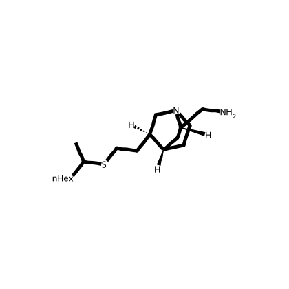 CCCCCCC(C)SCC[C@H]1CN2CC[C@H]1C[C@H]2CN